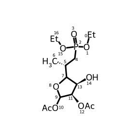 CCOP(=O)(C[C@@H](C)C1OC(OC(C)=O)[C@H](OC(C)=O)[C@@H]1O)OCC